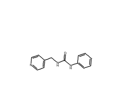 O=C(NCc1ccncc1)Nc1cc[c]cc1